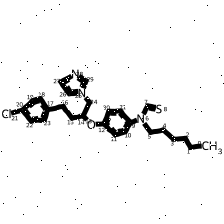 CCCCCCN(C=S)c1ccc(OC(CCc2ccc(Cl)cc2)Cn2ccnc2)cc1